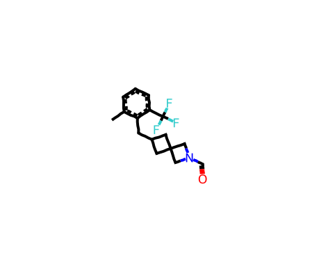 Cc1cccc(C(F)(F)F)c1CC1CC2(C1)CN(C=O)C2